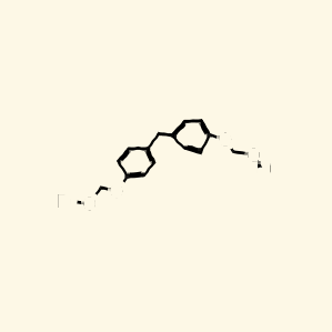 CCOCOc1ccc(Cc2ccc(OCOCC)cc2)cc1